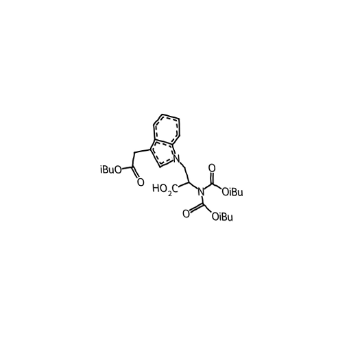 CC(C)COC(=O)Cc1cn(CC(C(=O)O)N(C(=O)OCC(C)C)C(=O)OCC(C)C)c2ccccc12